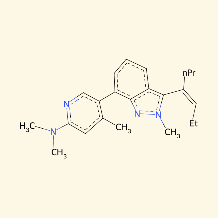 CC/C=C(/CCC)c1c2cccc(-c3cnc(N(C)C)cc3C)c2nn1C